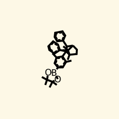 Cc1cc(B2OC(C)(C)C(C)(C)O2)cc(C)c1C1(c2ccccc2)C(c2ccccc2)C2CCC1(C)C2(C)C